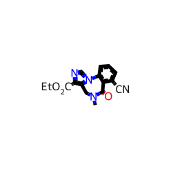 CCOC(=O)c1ncn2c1CN(C)C(=O)c1c(C#N)cccc1-2